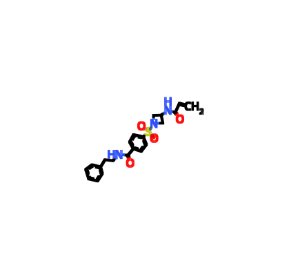 C=CC(=O)NC1CN(S(=O)(=O)c2ccc(C(=O)NCCc3ccccc3)cc2)C1